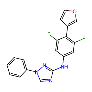 Fc1cc(Nc2ncn(-c3ccccc3)n2)cc(F)c1-c1ccoc1